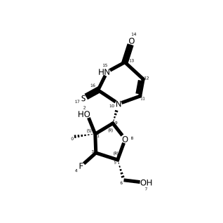 C[C@@]1(O)C(F)[C@@H](CO)O[C@H]1n1ccc(=O)[nH]c1=S